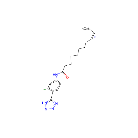 CCCCCCCC/C=C\CCCCCCCC(=O)Nc1ccc(-c2nnn[nH]2)c(F)c1